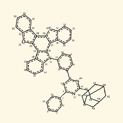 c1ccc(-c2nc(-c3cccc(-n4c5ccccc5c5c6oc7ccccc7c6c6sc7ccccc7c6c54)c3)nc(C34CC5CC(CC(C5)C3)C4)n2)cc1